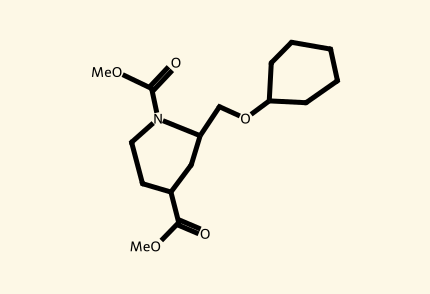 COC(=O)C1CCN(C(=O)OC)C(COC2CCCCC2)C1